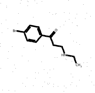 CCNCCC(=O)c1ccc(Br)cc1